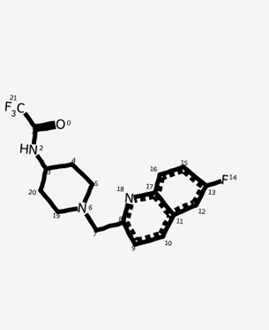 O=C(NC1CCN(Cc2ccc3cc(F)ccc3n2)CC1)C(F)(F)F